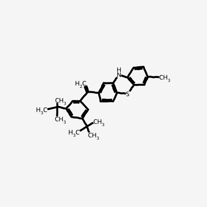 C=C(c1cc(C(C)(C)C)cc(C(C)(C)C)c1)c1ccc2c(c1)Nc1ccc(C)cc1S2